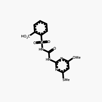 COc1cc(SC)nc(NC(=O)NS(=O)(=O)c2ccccc2C(=O)O)n1